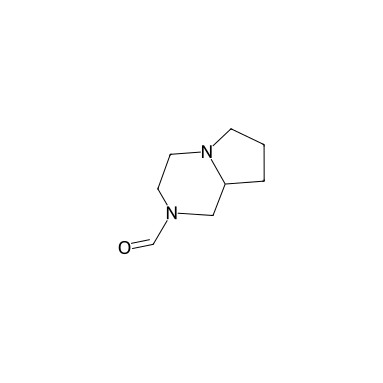 O=CN1CCN2CCCC2C1